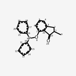 CC1Cc2cccc(OP(c3ccccc3)c3ccccc3)c2C1=O